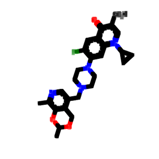 Cc1ncc(CN2CCN(c3cc4c(cc3F)c(=O)c(C(=O)O)cn4C3CC3)CC2)c2c1OC(C)OC2